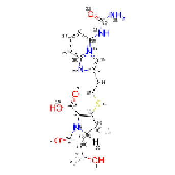 C[C@@H](O)[C@@H]1C(=O)N2C(C(=O)O)=C(SCCc3cn4c(NC(N)=O)cccc4n3)[C@H](C)[C@@H]12